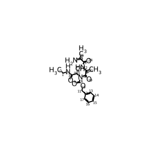 CCNC(=O)[C@H](C)N(C(=O)OCc1ccccc1)C(=O)[C@H](C)NC(=O)[C@H](C)N